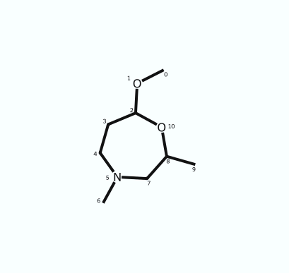 COC1CCN(C)CC(C)O1